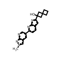 Cn1cc2cc(-c3ccc4cc(C5(O)CC6(CCC6)C5)sc4n3)cnc2n1